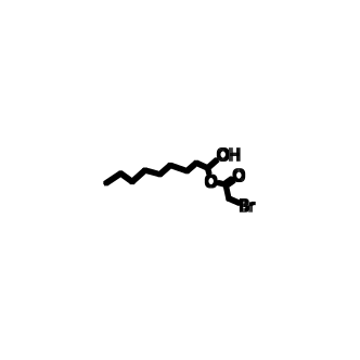 CCCCCCCCC(O)OC(=O)CBr